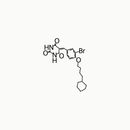 O=C1NC(=O)C(=Cc2ccc(OCCCCC3CCCCC3)c(Br)c2)C(=O)N1